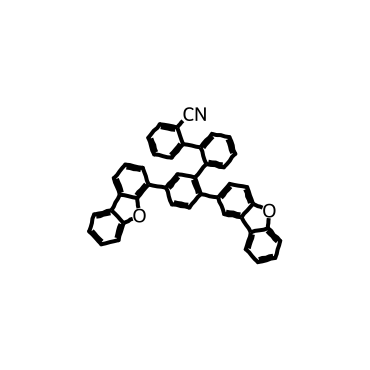 N#Cc1ccccc1-c1ccccc1-c1cc(-c2cccc3c2oc2ccccc23)ccc1-c1ccc2oc3ccccc3c2c1